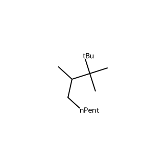 CCCCCCC(C)C(C)(C)C(C)(C)C